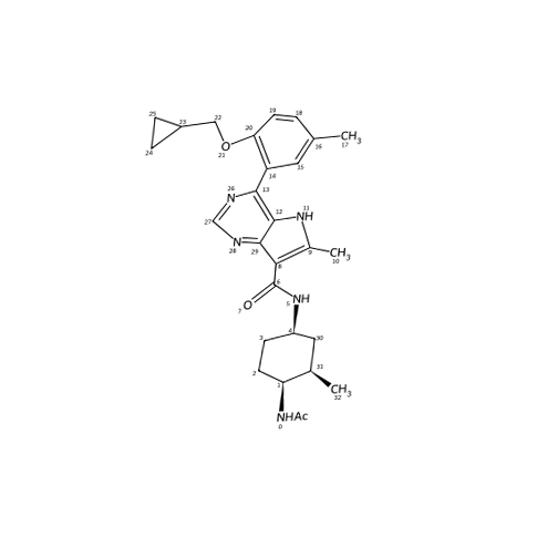 CC(=O)N[C@H]1CC[C@@H](NC(=O)c2c(C)[nH]c3c(-c4cc(C)ccc4OCC4CC4)ncnc23)C[C@H]1C